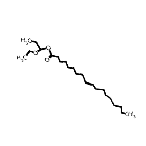 CCCCCCCCC=CCCCCCCCC(=O)OC(CC)OCC